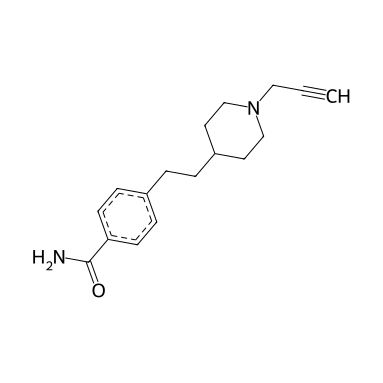 C#CCN1CCC(CCc2ccc(C(N)=O)cc2)CC1